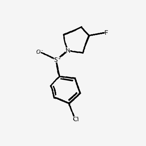 [O-][S+](c1ccc(Cl)cc1)N1CCC(F)C1